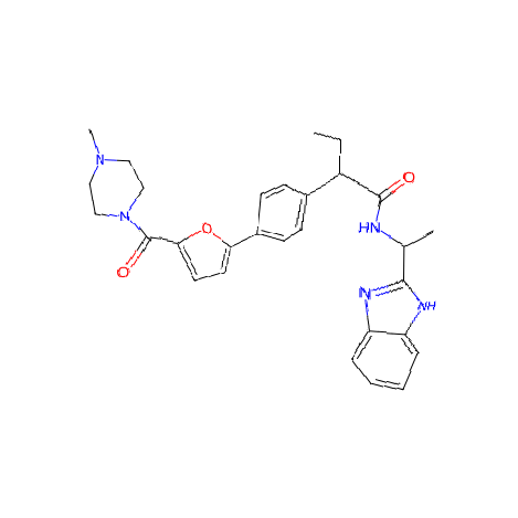 CCC(C(=O)NC(C)c1nc2ccccc2[nH]1)c1ccc(-c2ccc(C(=O)N3CCN(C)CC3)o2)cc1